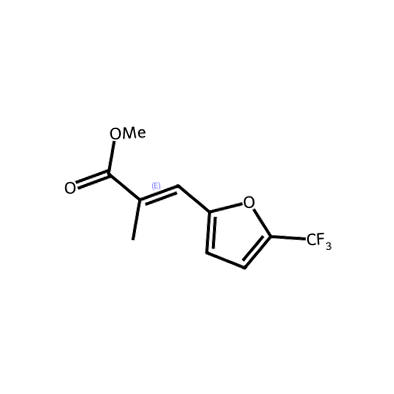 COC(=O)/C(C)=C/c1ccc(C(F)(F)F)o1